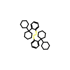 c1ccc(C2(C3CCCCC3)CCCCC2)c(SSc2ccccc2C2(C3CCCCC3)CCCCC2)c1